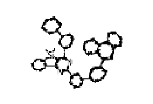 C[Si]1(C)c2ccccc2-c2nc(-c3cccc(-c4cccc(-c5cc6ccccc6c6ccccc56)c4)c3)nc(-c3cccc(-c4ccccc4)c3)c21